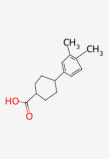 Cc1ccc(C2CCC(C(=O)O)CC2)cc1C